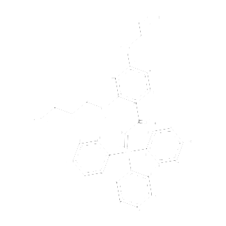 CCOC(=O)COc1ccc(C(=O)C=P(c2ccccc2)(c2ccccc2)c2ccccc2)c(OCCCCl)c1